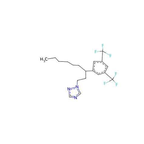 CCCCCCC(CCn1cncn1)c1cc(C(F)(F)F)cc(C(F)(F)F)c1